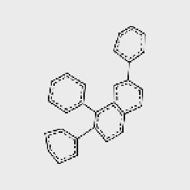 [c]1ccccc1-c1c(-c2ccccc2)ccc2ccc(-c3ccccc3)cc12